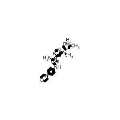 CC(C)C[C@@H](CO)N(C)c1cc(-n2nc(Nc3ccc(N4CCOCC4)cc3)nc2N)ncn1